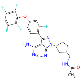 CC(=O)NCC1CCC(n2nc(-c3ccc(Oc4c(F)c(F)cc(F)c4F)cc3F)c3c(N)ncnc32)C1